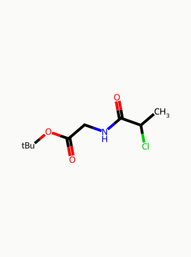 CC(Cl)C(=O)NCC(=O)OC(C)(C)C